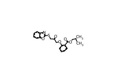 CC(C)COC(=O)c1ccccc1OCC(=O)CSc1nc2ccccc2o1